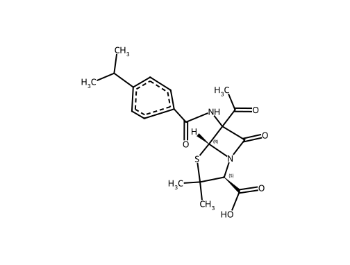 CC(=O)C1(NC(=O)c2ccc(C(C)C)cc2)C(=O)N2[C@@H](C(=O)O)C(C)(C)S[C@@H]21